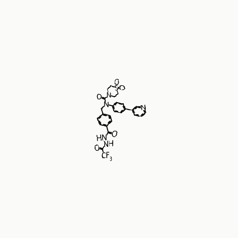 O=C(NNC(=O)C(F)(F)F)c1ccc(CN(C(=O)N2CCS(=O)(=O)CC2)c2ccc(-c3cccnc3)cc2)cc1